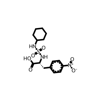 O=C(O)[C@@H](Cc1ccc([N+](=O)[O-])cc1)NS(=O)(=O)NC1CCCCC1